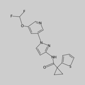 O=C(Nc1ccn(-c2cncc(OC(F)F)c2)n1)C1(c2cccs2)CC1